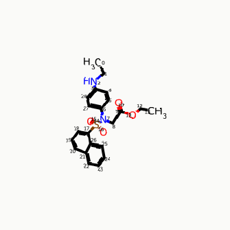 CCNc1ccc(N(CC(=O)OCC)S(=O)(=O)c2cccc3ccccc23)cc1